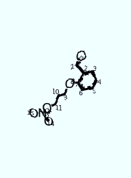 O=Cc1ccccc1OCCCO[N+](=O)[O-]